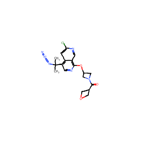 CC(C)(N=[N+]=[N-])c1cnc(OC2CN(C(=O)C3COC3)C2)c2cnc(Cl)cc12